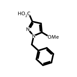 COc1cc(C(=O)O)nn1Cc1ccccc1